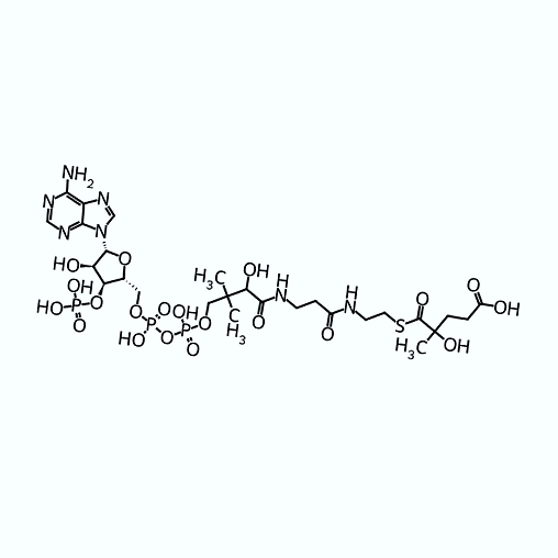 CC(O)(CCC(=O)O)C(=O)SCCNC(=O)CCNC(=O)C(O)C(C)(C)COP(=O)(O)OP(=O)(O)OC[C@H]1O[C@@H](n2cnc3c(N)ncnc32)[C@H](O)[C@@H]1OP(=O)(O)O